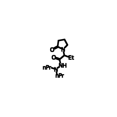 CCCN(CCC)NC(=O)C(CC)N1CCCC1=O